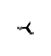 CC(=N)I